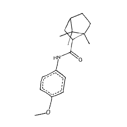 COc1ccc(NC(=O)C2CC3CCC2(C)C3(C)C)cc1